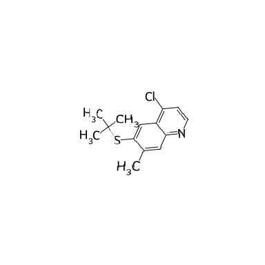 Cc1cc2nccc(Cl)c2cc1SC(C)(C)C